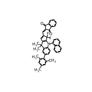 Cc1cc(C)c(-c2ccc3c(c2)C(C)(C)C2=C(N3c3cccc4ccccc34)C(F)(F)C(C=C3C(=O)c4ccccc4C3=O)=C2)c(C)c1